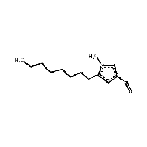 CCCCCCCCc1cc(C=O)cn1C